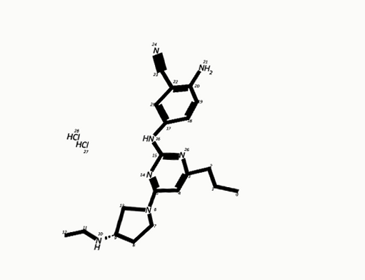 CCCc1cc(N2CC[C@H](NCC)C2)nc(Nc2ccc(N)c(C#N)c2)n1.Cl.Cl